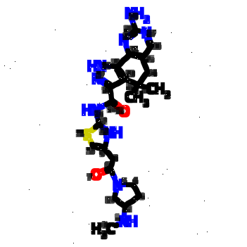 CNC1CCN(C(=O)CC2=CSC(NC(=O)c3n[nH]c4c3C(C)(C)Cc3cnc(N)nc3-4)N2)C1